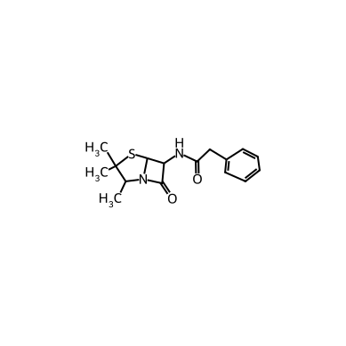 CC1N2C(=O)C(NC(=O)Cc3ccccc3)C2SC1(C)C